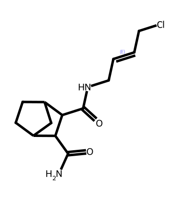 NC(=O)C1C2CCC(C2)C1C(=O)NC/C=C/CCl